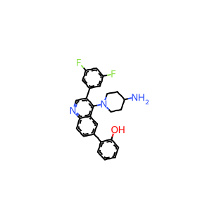 NC1CCN(c2c(-c3cc(F)cc(F)c3)cnc3ccc(-c4ccccc4O)cc23)CC1